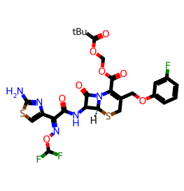 CC(C)(C)C(=O)OCOC(=O)C1=C(COc2cccc(F)c2)CS[C@H]2C(NC(=O)C(=NOC(F)F)c3csc(N)n3)C(=O)N12